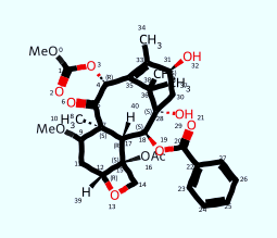 COC(=O)O[C@H]1C(=O)[C@]2(C)C(OC)C[C@H]3OC[C@@]3(OC(C)=O)[C@H]2[C@H](OC(=O)c2ccccc2)[C@]2(O)C[C@H](O)C(C)=C1C2(C)C